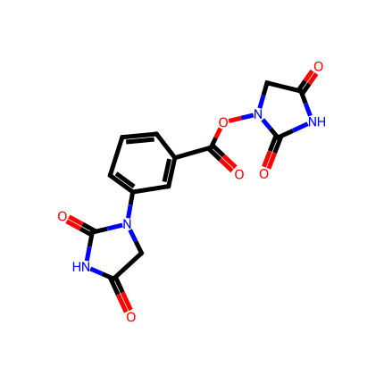 O=C1CN(OC(=O)c2cccc(N3CC(=O)NC3=O)c2)C(=O)N1